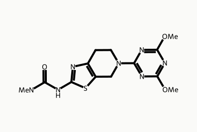 CNC(=O)Nc1nc2c(s1)CN(c1nc(OC)nc(OC)n1)CC2